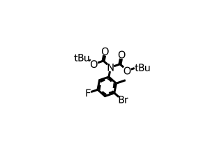 Cc1c(Br)cc(F)cc1N(C(=O)OC(C)(C)C)C(=O)OC(C)(C)C